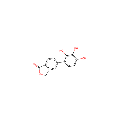 O=C1OCc2cc(-c3ccc(O)c(O)c3O)ccc21